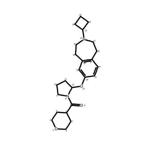 O=C(C1CCOCC1)N1CCCC1Oc1ccc2c(c1)CCN(C1CCC1)CC2